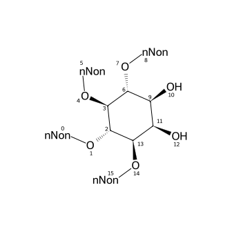 CCCCCCCCCO[C@@H]1[C@@H](OCCCCCCCCC)[C@H](OCCCCCCCCC)[C@@H](O)[C@@H](O)[C@H]1OCCCCCCCCC